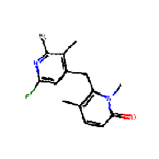 CCc1nc(F)cc(Cc2c(C)ccc(=O)n2C)c1C